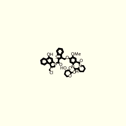 COc1cc2c(cc1OCc1c(C(=O)N3C[C@@H](CCl)c4c3cc(O)c3ccccc43)sc3ccccc13)N(C(=O)O)C(OC1CCCCO1)[C@@H]1CCCCN1C2=O